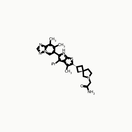 Cc1c(-c2[nH]c3sc([C@H]4C[C@]5(CCN(CC(N)=O)C5)C4)c(C)c3c2C(C)C)cn2ncnc2c1C